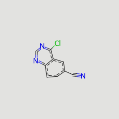 N#Cc1ccc2ncnc(Cl)c2c1